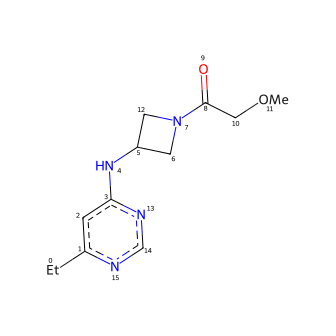 CCc1cc(NC2CN(C(=O)COC)C2)ncn1